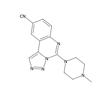 [C-]#[N+]c1ccc2nc(N3CCN(C)CC3)n3nncc3c2c1